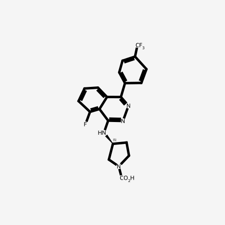 O=C(O)N1CC[C@H](Nc2nnc(-c3ccc(C(F)(F)F)cc3)c3cccc(F)c23)C1